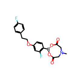 CN1CC(=O)OB(c2ccc(OCCc3ccc(F)cc3)cc2F)OC(=O)C1